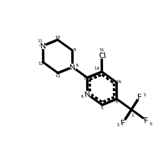 FC(F)(F)c1cnc(N2CC[N]CC2)c(Cl)c1